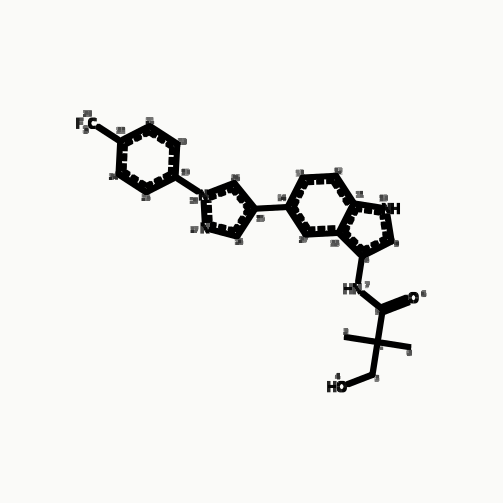 CC(C)(CO)C(=O)Nc1c[nH]c2ccc(-c3cnn(-c4ccc(C(F)(F)F)cc4)c3)cc12